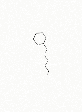 O=C(O)CCCCC[C]1CCCCC1